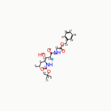 CCC[C@H](NC(=O)OC(C)(C)C)C(O)C(F)C(=O)NCC(=O)OCc1ccccc1